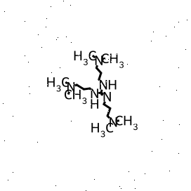 CN(C)CCCN=C(NCCCN(C)C)NCCCN(C)C